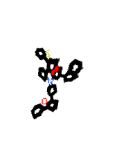 c1cc(-c2cccc3ccccc23)cc(N(c2ccc(-c3cccc4c3oc3ccccc34)cc2)c2ccccc2-c2cccc3sc4ccccc4c23)c1